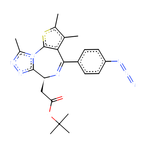 Cc1sc2c(c1C)C(c1ccc(N=[N+]=[N-])cc1)=N[C@@H](CC(=O)OC(C)(C)C)c1nnc(C)n1-2